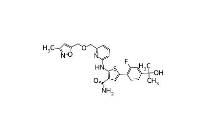 Cc1cc(COCc2cccc(Nc3sc(-c4ccc(C(C)(C)O)cc4F)cc3C(N)=O)n2)on1